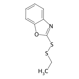 CCSSc1nc2ccccc2o1